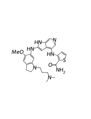 COc1cc2c(cc1Nc1cc3c(Nc4ccsc4C(N)=O)cncc3[nH]1)N(CCCN(C)C)CC2